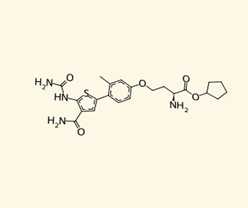 Cc1cc(OCC[C@H](N)C(=O)OC2CCCC2)ccc1-c1cc(C(N)=O)c(NC(N)=O)s1